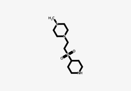 CN1CCN(CCS(=O)(=O)C2CCNCC2)CC1